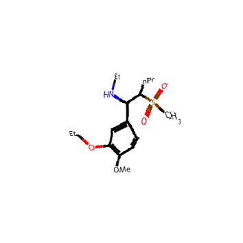 CCCC(C(NCC)c1ccc(OC)c(OCC)c1)S(C)(=O)=O